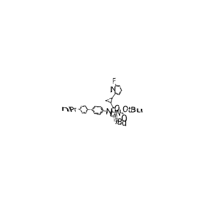 CCCc1ccc(-c2ccc(N(C[C@@H](NC(=O)OC(C)(C)C)[C@@H](C)CC)C(=O)C3CC3c3cccc(F)n3)cc2)cc1